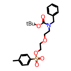 Cc1ccc(S(=O)(=O)OCCOCCN(Cc2ccccc2)C(=O)OC(C)(C)C)cc1